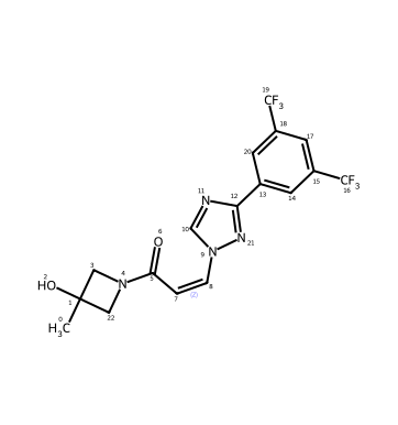 CC1(O)CN(C(=O)/C=C\n2cnc(-c3cc(C(F)(F)F)cc(C(F)(F)F)c3)n2)C1